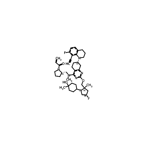 C#Cc1c(F)ccc2c1N([C@H]1CCc3c(nc(OC[C@]4(C)C[C@@H](F)CN4C4CCC(C)(O)CC4)nc3N(C)C[C@@H]3CCCN3C(=O)C=C)C1)CCC2